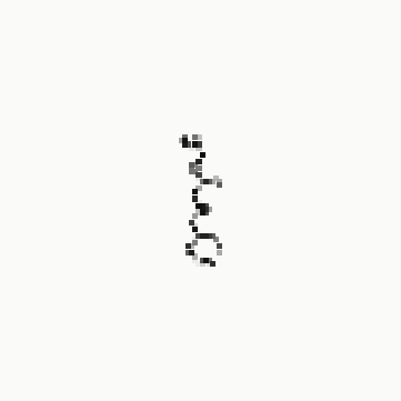 CCOC(=O)CNCC1CCC=CO1